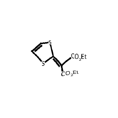 CCOC(=O)C(C(=O)OCC)=C1SC=CS1